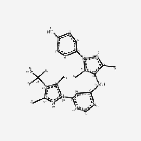 Cc1nn(-c2ccc(C#N)cc2)c(C)c1Nc1cc(-n2nc(C)c(C(C)(C)O)c2C)ncn1